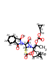 COC(=O)/C(=C(\C)OC(=O)OCC1CC1)N1C(=O)C(N2C(=O)c3ccccc3C2=O)C1SC(=O)OCC1CC1